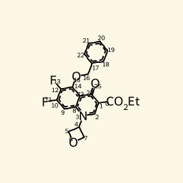 CCOC(=O)c1cn(C2COC2)c2cc(F)c(F)c(OCc3ccccc3)c2c1=O